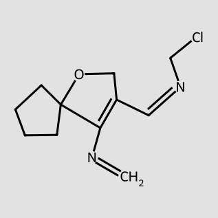 C=NC1=C(/C=N\CCl)COC12CCCC2